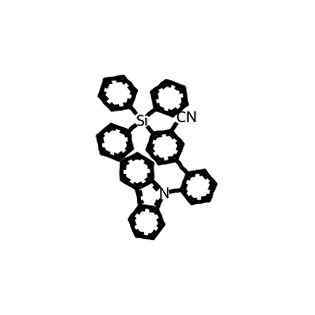 N#Cc1cc(-c2ccccc2-n2c3ccccc3c3ccccc32)ccc1[Si](c1ccccc1)(c1ccccc1)c1ccccc1